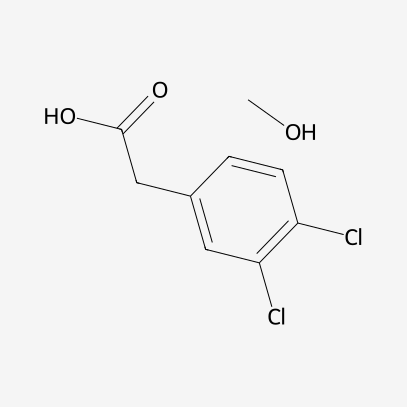 CO.O=C(O)Cc1ccc(Cl)c(Cl)c1